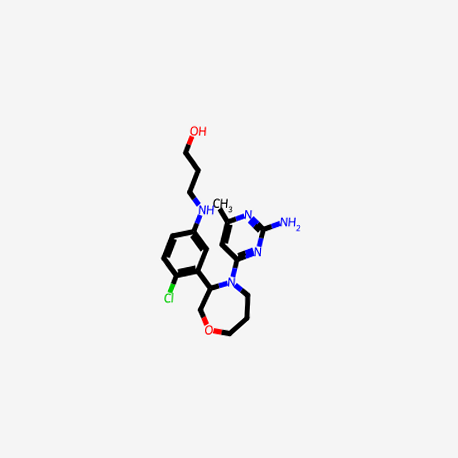 Cc1cc(N2CCCOCC2c2cc(NCCCO)ccc2Cl)nc(N)n1